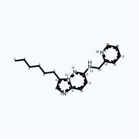 CCCCCCc1cnc2ccc(NCc3ccccn3)nn12